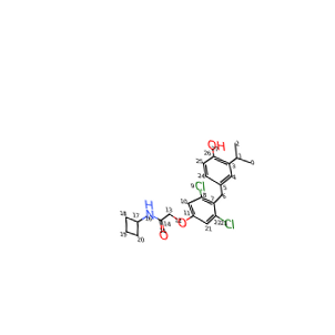 CC(C)c1cc(Cc2c(Cl)cc(OCC(=O)NC3CCC3)cc2Cl)ccc1O